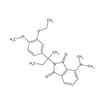 CCOc1cc(C(C)(CC)N2C(=O)c3cccc(N(C)C)c3C2=O)ccc1OC